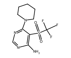 Nc1ncnc(N2CCCCC2)c1S(=O)(=O)C(F)(F)F